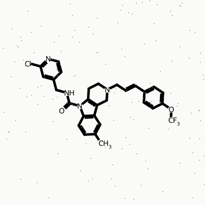 Cc1ccc2c(c1)c1c(n2C(=O)NCc2ccnc(Cl)c2)CCN(CC=Cc2ccc(OC(F)(F)F)cc2)C1